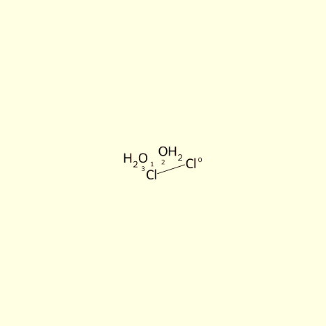 ClCl.O.O